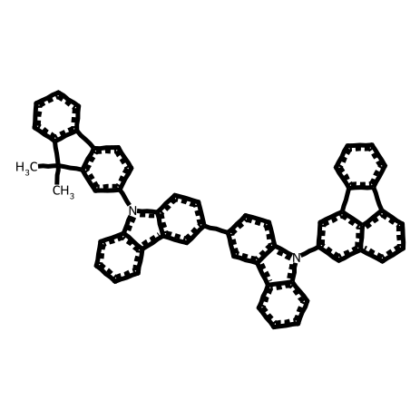 CC1(C)c2ccccc2-c2ccc(-n3c4ccccc4c4cc(-c5ccc6c(c5)c5ccccc5n6-c5cc6c7c(cccc7c5)-c5ccccc5-6)ccc43)cc21